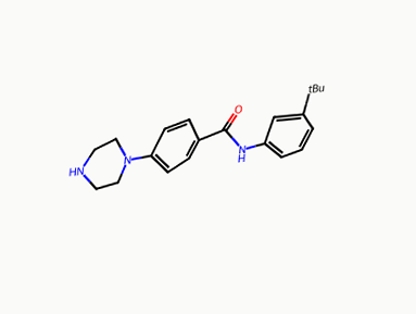 CC(C)(C)c1cccc(NC(=O)c2ccc(N3CCNCC3)cc2)c1